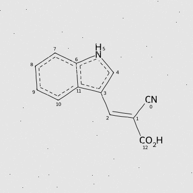 N#C/C(=C\c1c[nH]c2ccccc12)C(=O)O